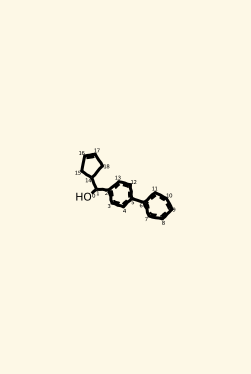 OC(c1ccc(-c2ccccc2)cc1)C1CC=CC1